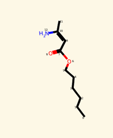 CCCCCCOC(=O)C=C(C)N